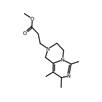 COC(=O)CCN1CCN2C(C)=NC(C)C(C)=C2C1